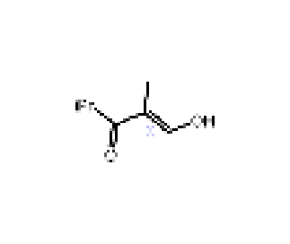 C/C(=C\O)C(=O)C(C)C